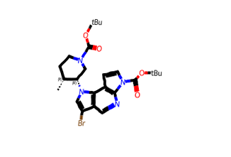 C[C@@H]1CCN(C(=O)OC(C)(C)C)C[C@@H]1n1cc(Br)c2cnc3c(ccn3C(=O)OC(C)(C)C)c21